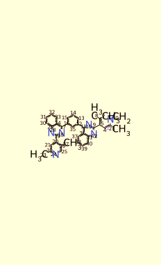 C=N/C(C)=C\C(=C(C)C)c1nc(-c2cccc(-c3nc(-c4cc(C)ncc4C)nc4ccccc34)c2)c2ccccc2n1